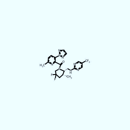 Cc1ccc(-n2nccn2)c(C(=O)N2CC(F)(F)C[C@@H](C)[C@H]2CNc2ncc(C(F)(F)F)cn2)n1